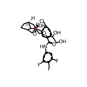 O=C(Nc1cc(F)c(F)c(F)c1)c1ccc(Cl)c(S(=O)(=O)C2C3CC[C@H]2C[C@](O)(COCC(O)CO)C3)c1